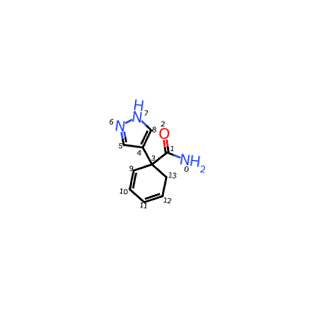 NC(=O)C1(c2cn[nH]c2)C=CC=CC1